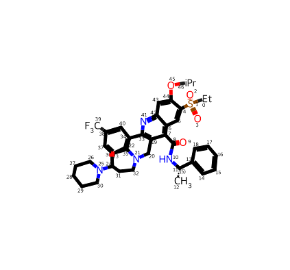 CCS(=O)(=O)c1cc2c(C(=O)N[C@@H](C)c3ccccc3)c(CN3CCC(N4CCCCC4)CC3)c(-c3cccc(C(F)(F)F)c3)nc2cc1OC(C)C